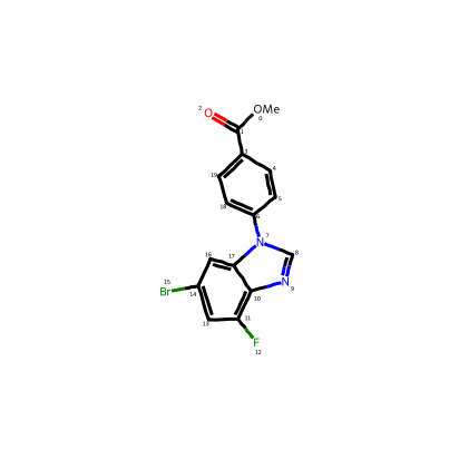 COC(=O)c1ccc(-n2cnc3c(F)cc(Br)cc32)cc1